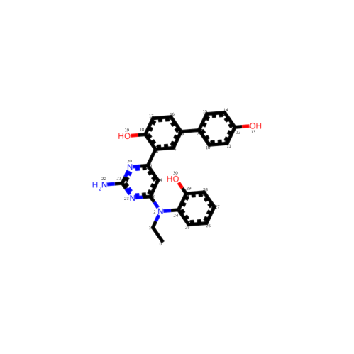 CCN(c1cc(-c2cc(-c3ccc(O)cc3)ccc2O)nc(N)n1)c1ccccc1O